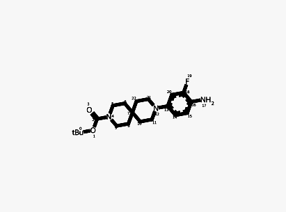 CC(C)(C)OC(=O)N1CCC2(CC1)CCN(c1ccc(N)c(F)c1)CC2